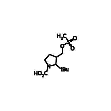 CC(C)(C)C1C(COS(C)(=O)=O)CCN1C(=O)O